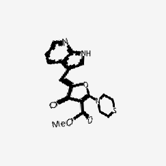 COC(=O)C1=C(N2CCSCC2)O/C(=C\c2c[nH]c3ncccc23)C1=O